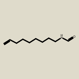 C=CCCCCCCCNC=O